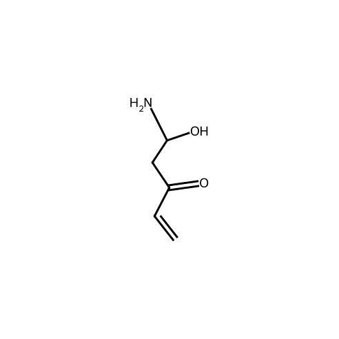 C=CC(=O)CC(N)O